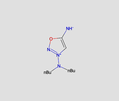 CCCCN(CCCC)[n+]1cc([NH-])on1